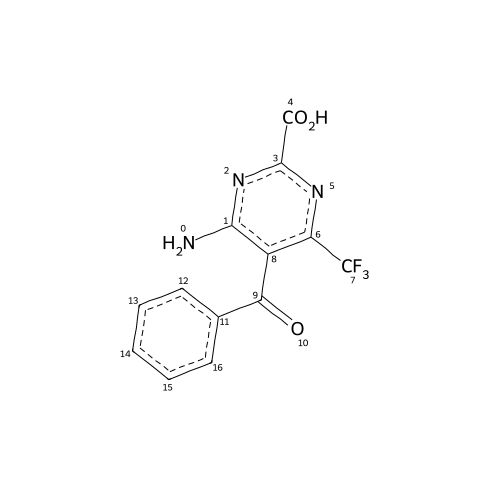 Nc1nc(C(=O)O)nc(C(F)(F)F)c1C(=O)c1ccccc1